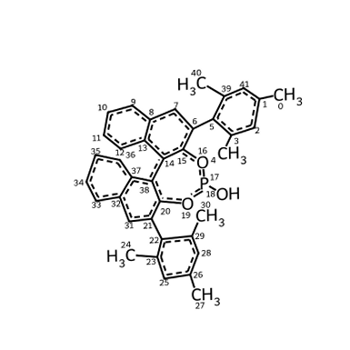 Cc1cc(C)c(-c2cc3ccccc3c3c2op(O)oc2c(-c4c(C)cc(C)cc4C)cc4ccccc4c23)c(C)c1